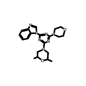 CC1CN(c2nc(N3CCOCC3)nc(-n3cnc4ccccc43)n2)CC(C)O1